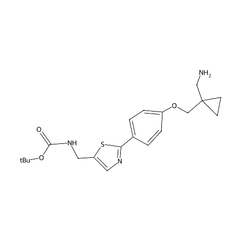 CC(C)(C)OC(=O)NCc1cnc(-c2ccc(OCC3(CN)CC3)cc2)s1